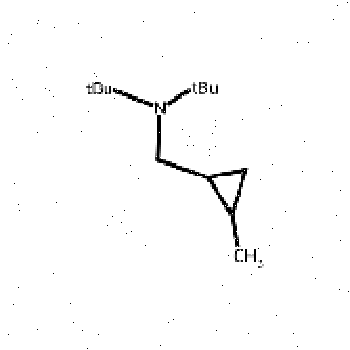 CC1CC1CN(C(C)(C)C)C(C)(C)C